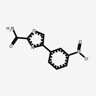 NC(=O)c1nc(-c2cccc([N+](=O)[O-])c2)co1